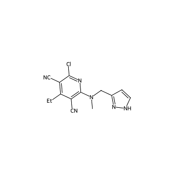 CCc1c(C#N)c(Cl)nc(N(C)Cc2cc[nH]n2)c1C#N